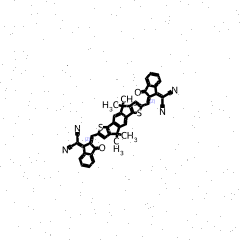 CC1(C)c2cc3c(cc2-c2sc(/C=C4\C(=O)c5ccccc5C4=C(C#N)C#N)cc21)C(C)(C)c1cc(/C=C2\C(=O)c4ccccc4C2=C(C#N)C#N)sc1-3